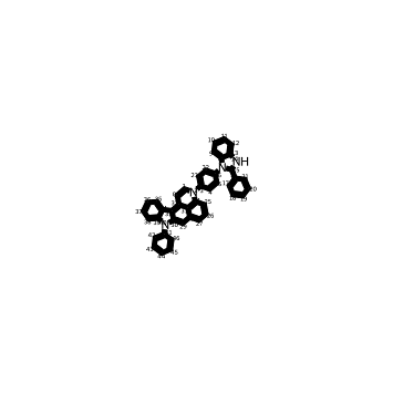 C1=CN(c2ccc(N3c4ccccc4NC3c3ccccc3)cc2)c2cccc3cc4c(c1c23)c1ccccc1n4-c1ccccc1